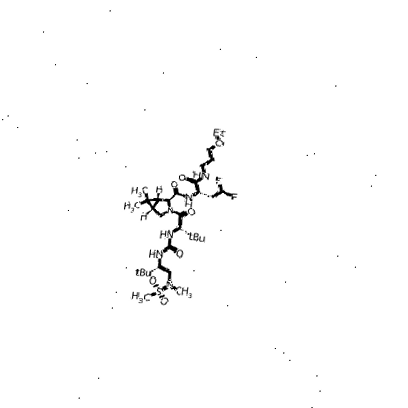 CCOCCCNC(=O)[C@H](CC(F)F)NC(=O)[C@@H]1[C@@H]2[C@H](CN1C(=O)[C@@H](NC(=O)N[C@H](CN(C)S(C)(=O)=O)C(C)(C)C)C(C)(C)C)C2(C)C